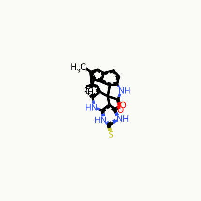 [2H]c1cccc2ccc3c(c12)C1(C(=O)N3)c2cc(CC)ccc2Nc2[nH]c(=S)[nH]c(=O)c21